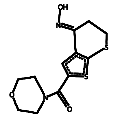 O=C(c1cc2c(s1)SCCC2=NO)N1CCOCC1